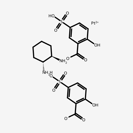 N[C@@H]1CCCC[C@H]1N.O=C([O-])c1cc(S(=O)(=O)O)ccc1O.O=C([O-])c1cc(S(=O)(=O)O)ccc1O.[Pt+2]